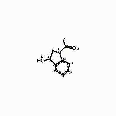 CC(=O)N1CC(O)c2ccccc21